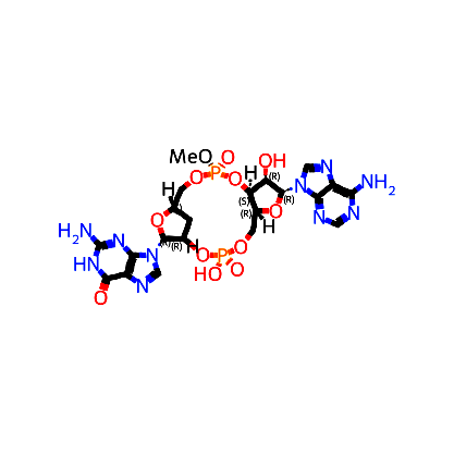 COP1(=O)OC[C@@H]2C[C@@H](OP(=O)(O)OC[C@H]3O[C@@H](n4cnc5c(N)ncnc54)[C@H](O)[C@@H]3O1)[C@H](n1cnc3c(=O)[nH]c(N)nc31)O2